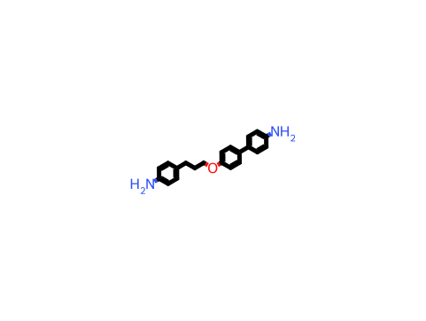 Nc1ccc(CCCOc2ccc(-c3ccc(N)cc3)cc2)cc1